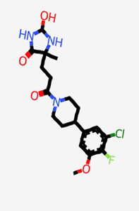 COc1cc(C2CCN(C(=O)CCC3(C)NC(O)NC3=O)CC2)cc(Cl)c1F